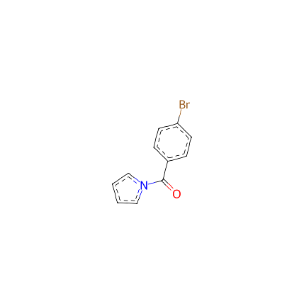 O=C(c1ccc(Br)cc1)n1cccc1